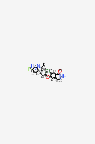 CC[C@H](N)[C@]1(c2ccc(F)cc2)CC[C@H](Oc2cc3cc[nH]c(=O)c3cc2Cl)CC1